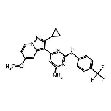 COc1ccn2nc(C3CC3)c(-c3cc(N)nc(Nc4ccc(C(F)(F)F)cc4)n3)c2c1